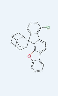 Clc1cccc2c1-c1ccc3c(oc4ccccc43)c1C21C2CC3CC(C2)CC1C3